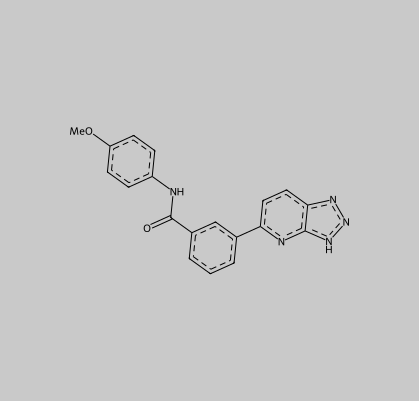 COc1ccc(NC(=O)c2cccc(-c3ccc4nn[nH]c4n3)c2)cc1